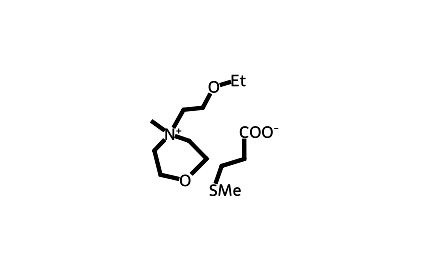 CCOCC[N+]1(C)CCOCC1.CSCCC(=O)[O-]